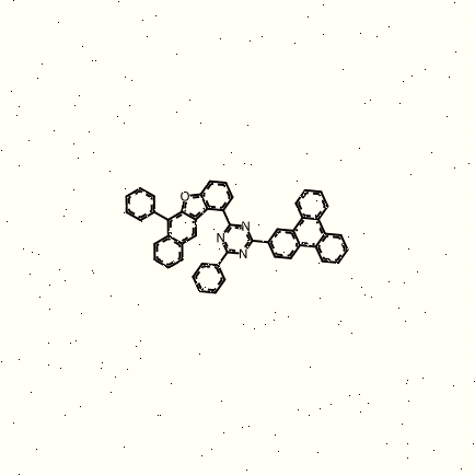 c1ccc(-c2nc(-c3ccc4c5ccccc5c5ccccc5c4c3)nc(-c3cccc4oc5c(-c6ccccc6)c6ccccc6cc5c34)n2)cc1